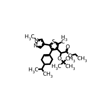 CCOC(=O)C(OC(C)(C)C)c1c(C)sc(-c2cnn(C)c2)c1C1=CCC(C(C)C)CC1